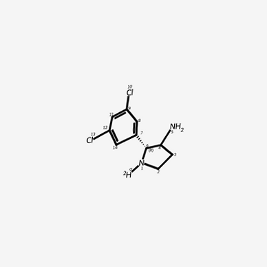 [2H]N1CCC(N)[C@H]1c1cc(Cl)cc(Cl)c1